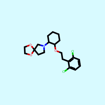 Clc1cccc(Cl)c1CCOC1CCCCC1N1CCC2(C1)OCCO2